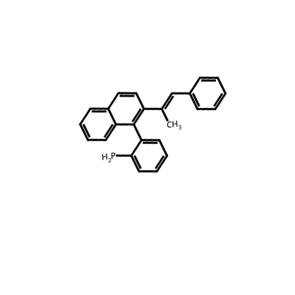 CC(=Cc1ccccc1)c1ccc2ccccc2c1-c1ccccc1P